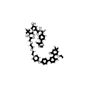 CCOC1=C(c2cc(-c3ccc(OC4CCN(CCOCCOCC(=O)N[C@H](C(=O)N5C[C@H](O)CC5C(=O)N[C@@H](C)c5ccc(-c6scnc6C)cc5)C(C)(C)C)CC4)cc3)ccc2C)C(=O)CC(C)(C)C1